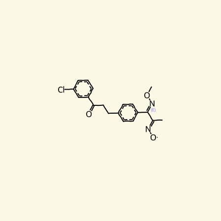 CO/N=C(/C(C)=N[O])c1ccc(CCC(=O)c2cccc(Cl)c2)cc1